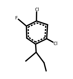 CCC(C)c1cc(F)c(Cl)cc1Cl